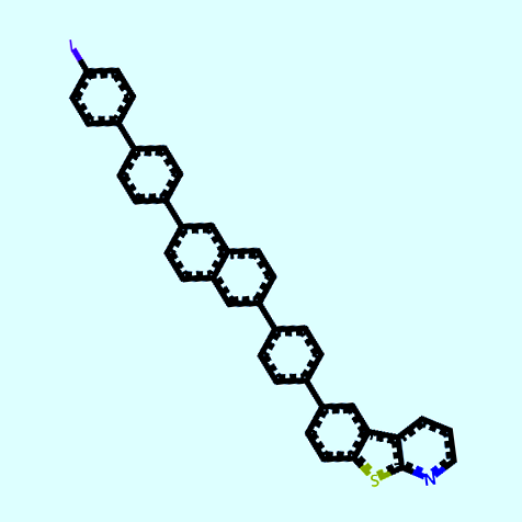 Ic1ccc(-c2ccc(-c3ccc4cc(-c5ccc(-c6ccc7sc8ncccc8c7c6)cc5)ccc4c3)cc2)cc1